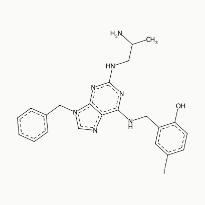 CC(N)CNc1nc(NCc2cc(I)ccc2O)c2ncn(Cc3ccccc3)c2n1